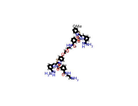 COc1ccc2nc([C@@H](Cc3cccc(C(=N)N)c3)NS(=O)(=O)c3cccc(C(=O)NCCOCCOc4ccc5nc([C@H](Cc6cccc(C(=N)N)c6)NS(=O)(=O)c6cccc(C(=O)NCCCN)c6)sc5c4)c3)sc2c1